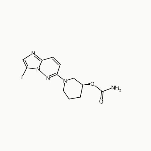 NC(=O)O[C@H]1CCCN(c2ccc3ncc(I)n3n2)C1